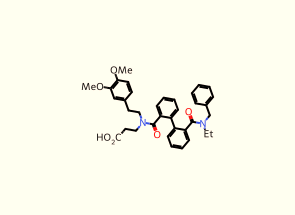 CCN(Cc1ccccc1)C(=O)c1ccccc1-c1ccccc1C(=O)N(CCC(=O)O)CCc1ccc(OC)c(OC)c1